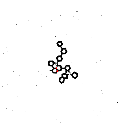 CC1CC=CC=C1c1ccccc1N(c1ccc(-c2cccc(-c3ccccc3)c2)cc1)c1cccc(-c2cccc3c2c2cc4ccccc4cc2n3-c2ccccc2)c1